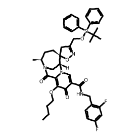 CCCCOc1c2n(cc(C(=O)NCc3ccc(F)cc3F)c1=O)[C@@H]1CN(C2=O)[C@@H](C)CC[C@]12CC(CO[Si](c1ccccc1)(c1ccccc1)C(C)(C)C)=NO2